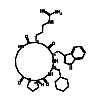 N=C(N)NCCC[C@@H]1CC(=O)[C@H](Cc2c[nH]c3ccccc23)N[C@@H](CC2CCCCC2)NC(=O)[C@@H]2CCCN2C(=O)CCCCNC1=O